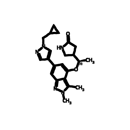 Cc1c2c(O[C@H](C)C3CNC(=O)C3)cc(-c3cnn(CC4CC4)c3)cc2nn1C